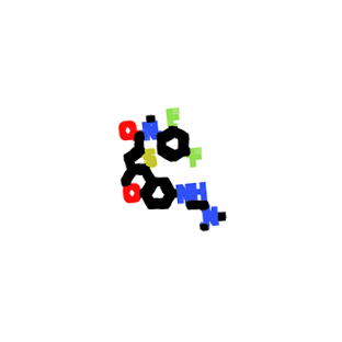 CN(C)CCNc1ccc2c(c1)-c1sc(C(=O)N(C)c3ccc(F)cc3F)cc1CO2